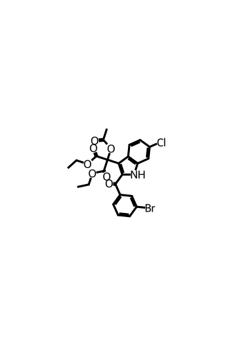 CCOC(=O)C(OC(C)=O)(C(=O)OCC)c1c(C(=O)c2cccc(Br)c2)[nH]c2cc(Cl)ccc12